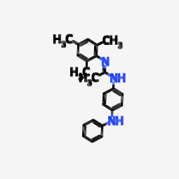 C/C(=N\c1c(C)cc(C)cc1C)Nc1ccc(Nc2ccccc2)cc1